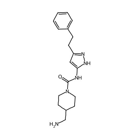 NCC1CCN(C(=O)Nc2cc(CCc3ccccc3)n[nH]2)CC1